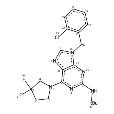 CC(C)(C)Nc1nc(N2CCC(F)(F)C2)c2ncn(Cc3ccccc3Cl)c2n1